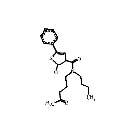 CCCCN(CCCC(C)=O)C(=O)C1C=C(c2ccccc2)SC1Cl